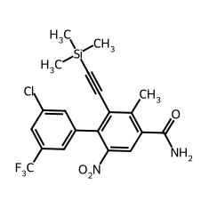 Cc1c(C(N)=O)cc([N+](=O)[O-])c(-c2cc(Cl)cc(C(F)(F)F)c2)c1C#C[Si](C)(C)C